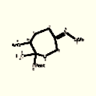 CCCCCC1(C)OCC(=NOC)CCC1OC(C)=O